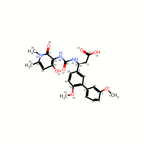 COc1cccc(-c2cc([C@H](CC(=O)O)NC(=O)Nc3c(O)cc(C)n(C)c3=O)ccc2OC)c1